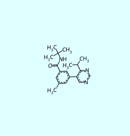 Cc1cc(C(=O)NC(C)(C)C)cc(-c2cncnc2C(C)C)c1